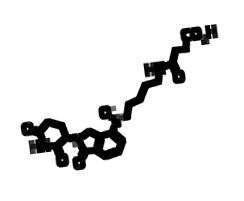 O=C(O)CCC(=O)NCCCCC[S+]([O-])c1cccc2c1CN(C1CCC(=O)NC1=O)C2=O